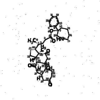 C[C@H](CCC(=O)OC1(c2ccccc2)CCCCNC1)[C@H]1CC[C@H]2[C@@H]3C(=O)C[C@@H]4CC(=O)CC[C@]4(C)[C@H]3CC(=O)[C@]12C